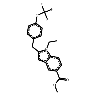 CCn1c(Cc2ccc(OC(F)(F)F)cc2)cc2cc(C(=O)OC)ccc21